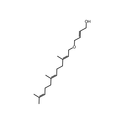 CC(C)=CCC/C(C)=C/CC/C(C)=C/COC/C=C/CO